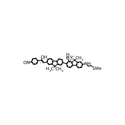 CSCCNc1ccc2c(c1)C(C)(C)c1c-2ccc(-c2ccc3c(c2)C(C)(C)c2cc(/C=C(\O)c4ccc(N=O)cc4)ccc2-3)c1C